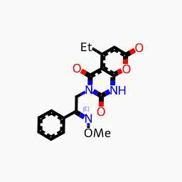 CCc1cc(=O)oc2[nH]c(=O)n(C/C(=N/OC)c3ccccc3)c(=O)c12